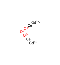 [Ce].[Ce].[Gd+3].[Gd+3].[O-2].[O-2].[O-2]